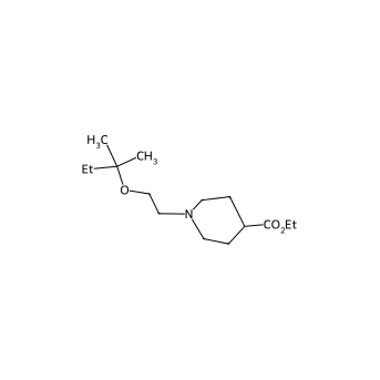 CCOC(=O)C1CCN(CCOC(C)(C)CC)CC1